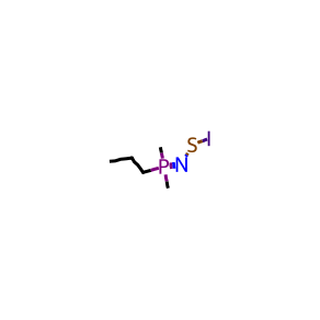 CCCP(C)(C)=NSI